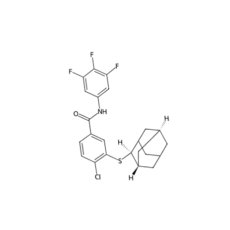 O=C(Nc1cc(F)c(F)c(F)c1)c1ccc(Cl)c(S[C@H]2C3CC4C[C@H](C3)C[C@@H]2C4)c1